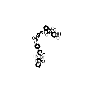 CN1C[C@H](Nc2nc3ccccn3c(=O)c2Br)C[C@H](c2ccc(OCC(=O)N3CC(COc4cccc5c4C(=O)N(C4CCC(=O)NC4=O)C5=O)C3)cc2)C1